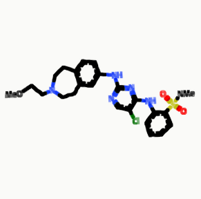 CNS(=O)(=O)c1ccccc1Nc1nc(Nc2ccc3c(c2)CCN(CCOC)CC3)ncc1Cl